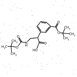 CC(C)(C)OC(=O)NCC(C(=O)O)c1cccc(C(=O)OC(C)(C)C)c1